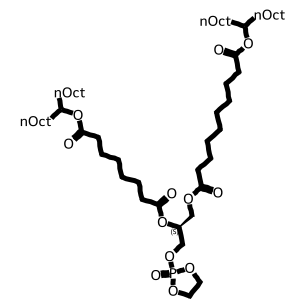 CCCCCCCCC(CCCCCCCC)OC(=O)CCCCCCCCC(=O)OC[C@@H](COP1(=O)OCCO1)OC(=O)CCCCCCC(=O)OC(CCCCCCCC)CCCCCCCC